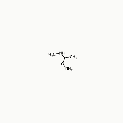 CNC(C)ON